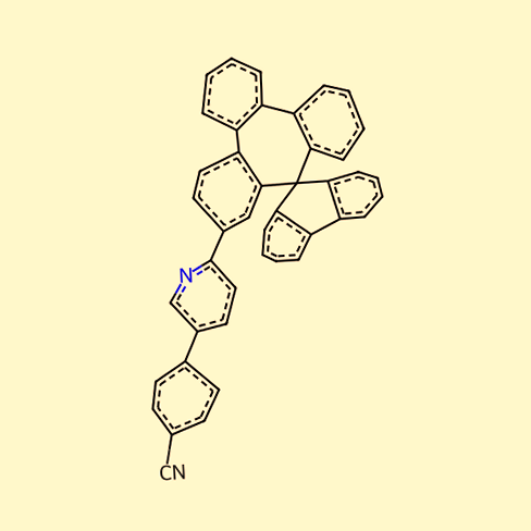 N#Cc1ccc(-c2ccc(-c3ccc4c(c3)C3(c5ccccc5-c5ccccc5-4)c4ccccc4-c4ccccc43)nc2)cc1